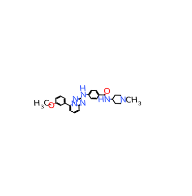 COc1cccc(-c2cccc3nc(Nc4ccc(C(=O)NC5CCN(C)CC5)cc4)nn23)c1